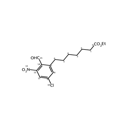 CCOC(=O)CCCCCCc1cc(Cl)cc([N+](=O)[O-])c1C=O